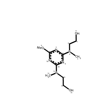 COc1nc(N(C)CCO)nc(N(C)CCO)n1